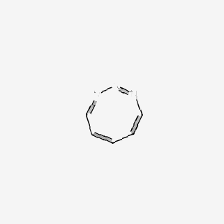 [C]1=NN=NC=CC=C1